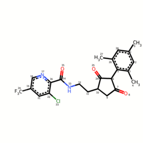 Cc1cc(C)c(C2C(=O)CC(CCNC(=O)c3ncc(C(F)(F)F)cc3Cl)C2=O)c(C)c1